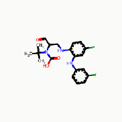 CC(C)(C)N(C(=O)O)C(C=O)CNc1ccc(F)cc1Nc1cccc(F)c1